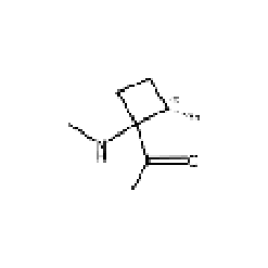 CNC1(C(C)=O)CC[C@@H]1C